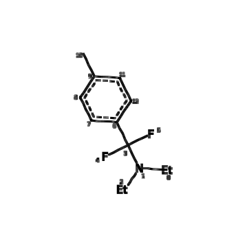 CCN(CC)C(F)(F)c1ccc(C)cc1